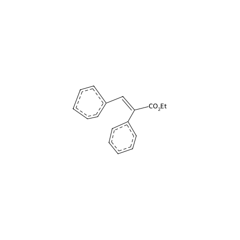 CCOC(=O)/C(=C/c1ccccc1)c1ccccc1